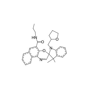 CCCNC(=O)c1cc2ccccc2c2c1OC1(C=N2)N(CC2CCCO2)c2ccccc2C1(C)C